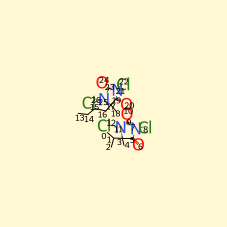 CC(C)C1(C)C(=O)N(Cl)C(=O)N1Cl.CCCCC1(C)C(=O)N(Cl)C(=O)N1Cl